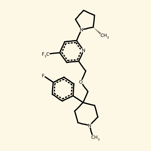 C[C@H]1CCCN1c1cc(C(F)(F)F)cc(COCC2(c3ccc(F)cc3)CCN(C)CC2)n1